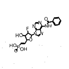 O=C(Nc1ncnc2c1ncn2C1OC(C=CP(=O)(O)O)C(O)C1F)c1ccccc1